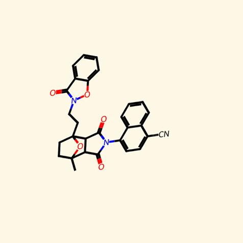 CC12CCC(CCn3oc4ccccc4c3=O)(O1)C1C(=O)N(c3ccc(C#N)c4ccccc34)C(=O)C12